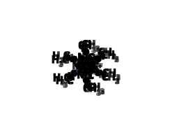 [C-]#[N+]/C(=C\c1ccc(N(CC)CC)cc1)C(=O)OC1C(OC(=O)/C(=C/c2ccc(N(CC)CC)cc2)[N+]#[C-])C(OC(=O)/C(C#N)=C/c2ccc(N(CC)CC)cc2)C(OC(=O)/C(C#N)=C/c2ccc(N(CC)CC)cc2)C(OC(=O)/C(C#N)=C/c2ccc(N(CC)CC)cc2)C1OC(=O)/C(=C/c1ccc(N(CC)CC)cc1)[N+]#[C-]